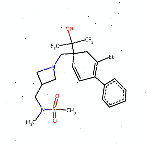 CCC1=C(c2ccccc2)C=CC(CN2CC(CN(C)S(C)(=O)=O)C2)(C(O)(C(F)(F)F)C(F)(F)F)C1